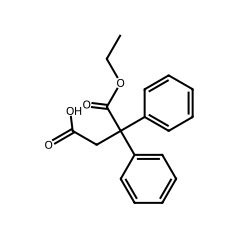 CCOC(=O)C(CC(=O)O)(c1ccccc1)c1ccccc1